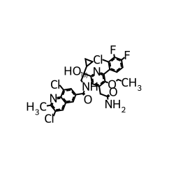 CCOc1c(CC(N)=O)cc([C@@](O)(CNC(=O)c2cc(Cl)c3nc(C)c(Cl)cc3c2)C2CC2)nc1-c1ccc(F)c(F)c1Cl